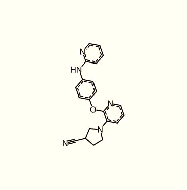 N#CC1CCN(c2cccnc2Oc2ccc(Nc3ccccn3)cc2)C1